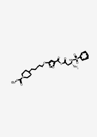 CC(C)(C)OC(=O)N1CCC(CCCCOc2cc(C(=O)OC(=O)C[C@@H](N)NS(=O)(=O)c3ccccc3)on2)CC1